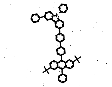 CC(C)(C)c1ccc2c(-c3ccc(-c4ccc(-c5ccc6c(c5)c5cc(-c7ccccc7)ccc5n6-c5ccccc5)cc4)cc3)c3cc(C(C)(C)C)ccc3c(-c3ccccc3)c2c1